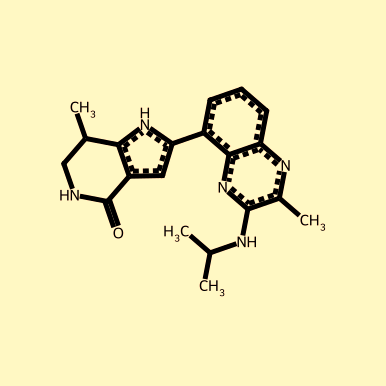 Cc1nc2cccc(-c3cc4c([nH]3)C(C)CNC4=O)c2nc1NC(C)C